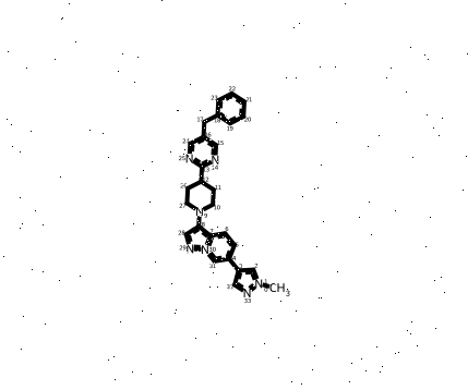 Cn1cc(-c2ccc3c(N4CCC(c5ncc(Cc6ccccc6)cn5)CC4)cnn3c2)cn1